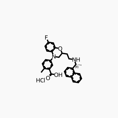 Cc1ccc(N2CC(CCN[C@H](C)c3cccc4ccccc34)Oc3cc(F)ccc32)cc1C(=O)O.Cl